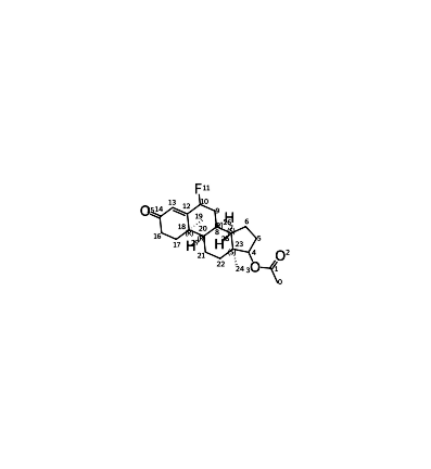 CC(=O)OC1CC[C@H]2[C@@H]3CC(F)C4=CC(=O)CC[C@]4(C)[C@@H]3CC[C@]12C